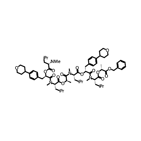 CN[C@@H](CC(C)C)C(=O)O[C@H](Cc1ccc(C2CCOCC2)cc1)C(=O)N(C)[C@@H](CC(C)C)C(=O)O[C@H](C)C(=O)N(C)[C@@H](CC(C)C)C(=O)O[C@H](Cc1ccc(C2CCOCC2)cc1)C(=O)N(C)[C@@H](CC(C)C)C(=O)O[C@H](C)C(=O)OCc1ccccc1